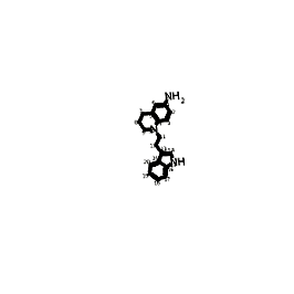 Nc1ccc2c(c1)CCCN2CCc1c[nH]c2ccccc12